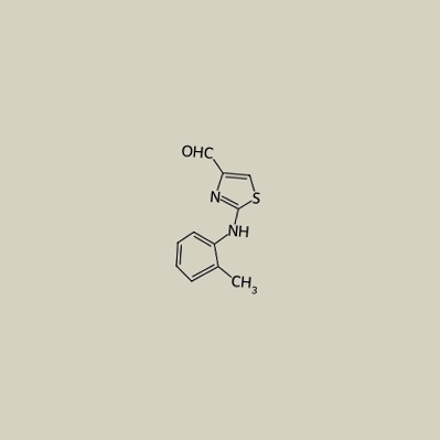 Cc1ccccc1Nc1nc(C=O)cs1